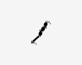 COCCCCCCCCOc1ccc(C(=O)Oc2ccc(OC(=O)c3ccc(C)cc3)cc2)cc1